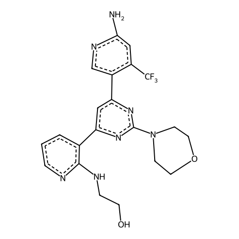 Nc1cc(C(F)(F)F)c(-c2cc(-c3cccnc3NCCO)nc(N3CCOCC3)n2)cn1